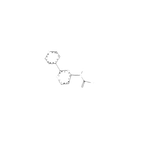 O=C(O)N(O)c1ccnc(-c2ccncc2)n1